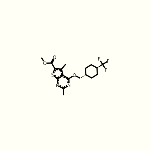 COC(=O)c1sc2nc(C)nc(OC[C@H]3CC[C@H](C(F)(F)F)CC3)c2c1C